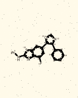 CC(C)Nc1nc2c(F)cc(-c3ocnc3-c3ccccc3)cc2s1